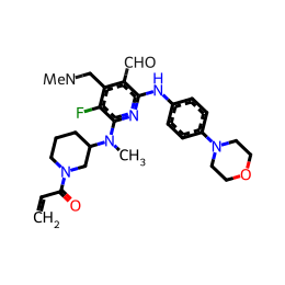 C=CC(=O)N1CCCC(N(C)c2nc(Nc3ccc(N4CCOCC4)cc3)c(C=O)c(CNC)c2F)C1